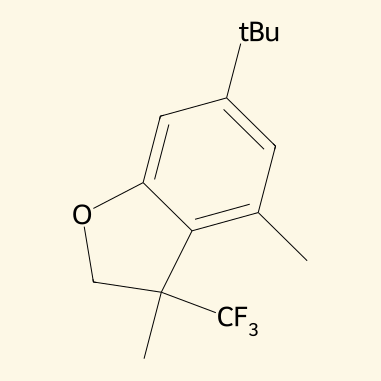 Cc1cc(C(C)(C)C)cc2c1C(C)(C(F)(F)F)CO2